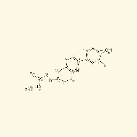 Cc1cc(-c2ccc3c(n2)CCN(CCC(=O)OC(C)(C)C)C3)ccc1O